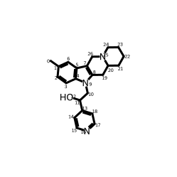 Cc1ccc2c(c1)c1c(n2CC(O)c2ccncc2)CC2CCCCN2C1